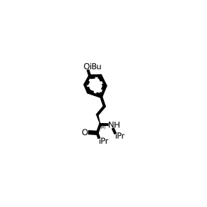 CC(C)COc1ccc(CC[C@@H](NC(C)C)C(=O)C(C)C)cc1